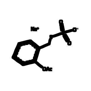 CC(=O)Oc1ccccc1CSS(=O)(=O)[O-].[Na+]